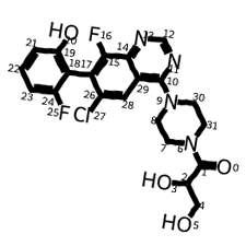 O=C(C(O)CO)N1CCN(c2ncnc3c(F)c(-c4c(O)cccc4F)c(Cl)cc23)CC1